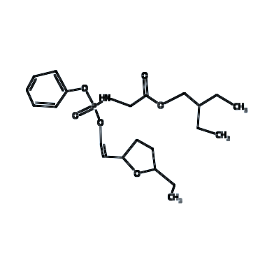 CCC(CC)COC(=O)CNP(=O)(O/C=C\C1CCC(CC)O1)Oc1ccccc1